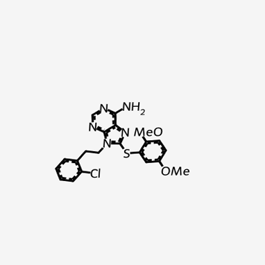 COc1ccc(OC)c(Sc2nc3c(N)ncnc3n2CCc2ccccc2Cl)c1